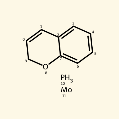 C1=Cc2ccccc2OC1.P.[Mo]